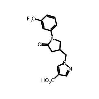 O=C(O)c1cnn(CC2CC(=O)N(c3cccc(C(F)(F)F)c3)C2)c1